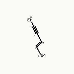 CCC#CC=CCCC